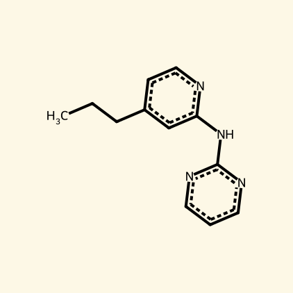 CCCc1ccnc(Nc2ncccn2)c1